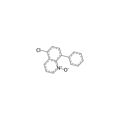 [O-][n+]1cccc2c(Cl)ccc(-c3ccccc3)c21